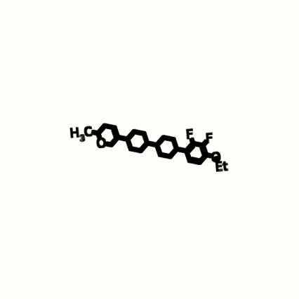 CCOc1ccc(C2CCC(C3CCC(C4=CCC(C)OC4)CC3)CC2)c(F)c1F